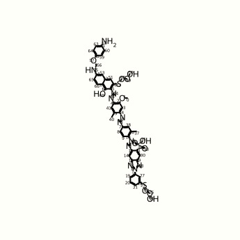 COc1cc(N=Nc2ccc(N=Nc3cc4nn(-c5cccc(SOOO)c5)nc4cc3S(=O)(=O)O)c(C)c2)c(C)cc1N=Nc1c(SOOO)cc2cc(NCOc3ccc(N)cc3)ccc2c1O